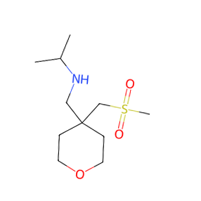 CC(C)NCC1(CS(C)(=O)=O)CCOCC1